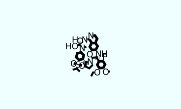 CCOc1cc([C@@H](Nc2ccc3c(N)nccc3c2)C(=O)N2CCC[C@@H]2c2cc(N(C)C(=O)O)ccc2S(=O)(=O)C(C)C)c(F)cc1OC